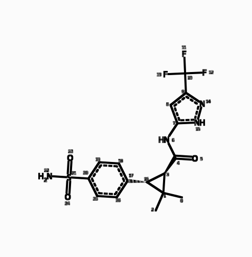 CC1(C)[C@H](C(=O)Nc2cc(C(F)(F)F)n[nH]2)[C@H]1c1ccc(S(N)(=O)=O)cc1